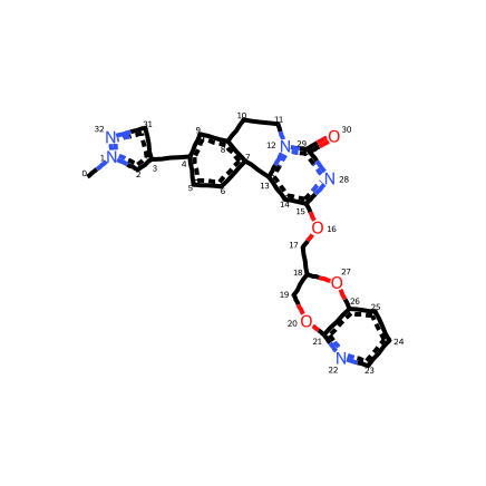 Cn1cc(-c2ccc3c(c2)CCn2c-3cc(OCC3COc4ncccc4O3)nc2=O)cn1